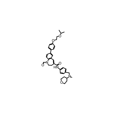 CC(C)OCCOc1ccc(-c2ccc3c(c2)C=C(C(=O)Nc2ccc(CN(C)C4CCOCC4)cc2)CCN3C=O)cc1